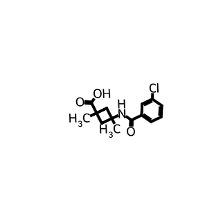 CC1(NC(=O)c2cccc(Cl)c2)CC(C)(C(=O)O)C1